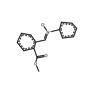 COC(=O)c1ccccc1C=[N+]([O-])c1ccccc1